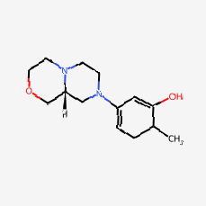 CC1CC=C(N2CCN3CCOC[C@H]3C2)C=C1O